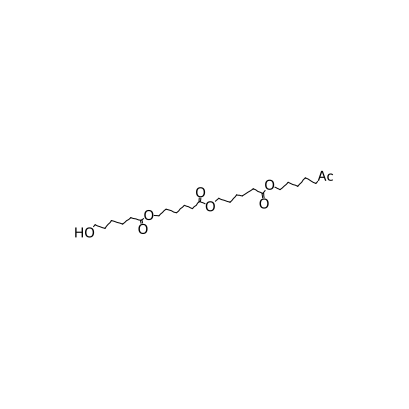 CC(=O)CCCCCOC(=O)CCCCCOC(=O)CCCCCOC(=O)CCCCCO